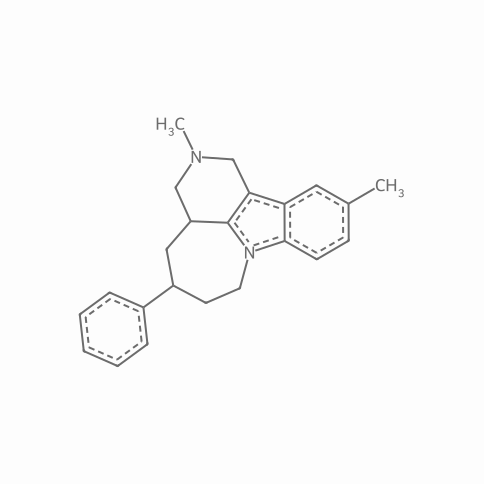 Cc1ccc2c(c1)c1c3n2CCC(c2ccccc2)CC3CN(C)C1